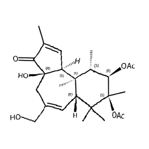 CC(=O)O[C@@H]1[C@@H](C)[C@@]2(C)[C@@H](C=C(CO)C[C@]3(O)C(=O)C(C)=C[C@@H]23)C(C)(C)[C@]1(C)OC(C)=O